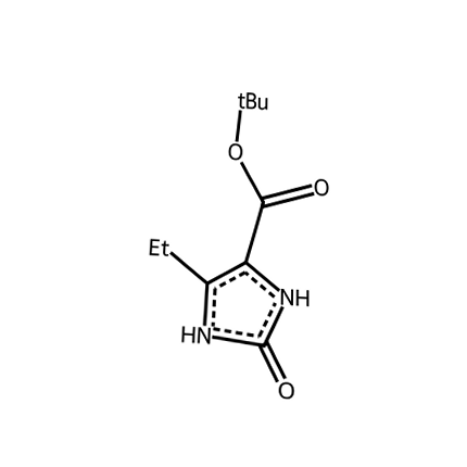 CCc1[nH]c(=O)[nH]c1C(=O)OC(C)(C)C